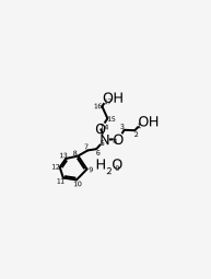 O.OCCON(CCc1ccccc1)OCCO